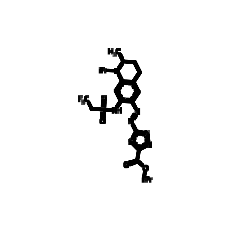 CCCOC(=O)c1nnc(N=Nc2cc3c(cc2NS(=O)(=O)CC(F)(F)F)N(C(C)C)C(C)CC3)s1